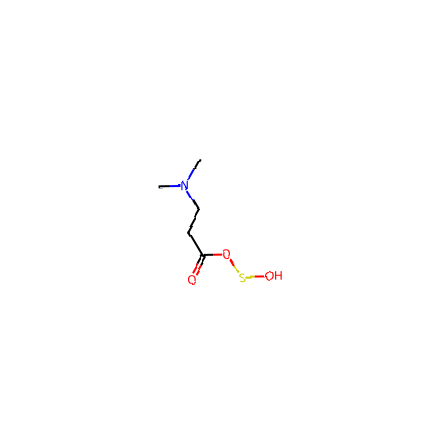 CN(C)CCC(=O)OSO